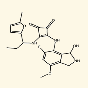 CCC(Nc1c(Nc2c(F)cc(OC)c3c2C(O)NC3)c(=O)c1=O)c1ccc(C)o1